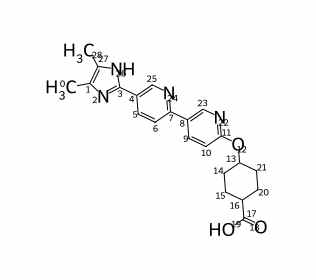 Cc1nc(-c2ccc(-c3ccc(OC4CCC(C(=O)O)CC4)nc3)nc2)[nH]c1C